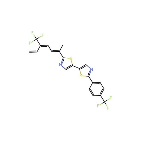 C=C/C(=C\C=C(/C)c1ncc(-c2cnc(-c3ccc(C(F)(F)F)cc3)s2)s1)C(F)(F)F